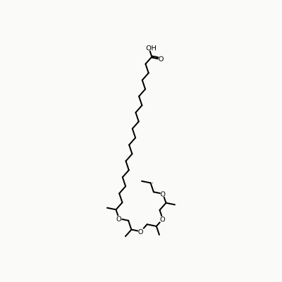 C[CH]COC(C)COC(C)COC(C)COC(C)CCCCCCCCCCCCCCCCCCC(=O)O